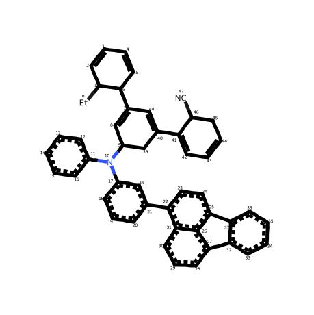 CCC1C=CC=CC1C1=CC(N(c2ccccc2)c2cccc(-c3ccc4c5c(cccc35)-c3ccccc3-4)c2)CC(C2=CC=CCC2C#N)=C1